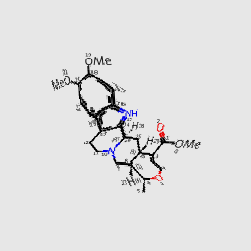 COC(=O)C1=CO[C@@H](C)[C@@H]2CN3CCc4c([nH]c5cc(OC)c(OC)cc45)[C@H]3C[C@H]12